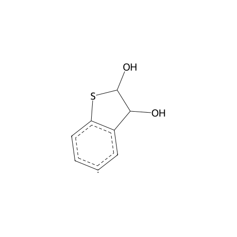 OC1Sc2cc[c]cc2C1O